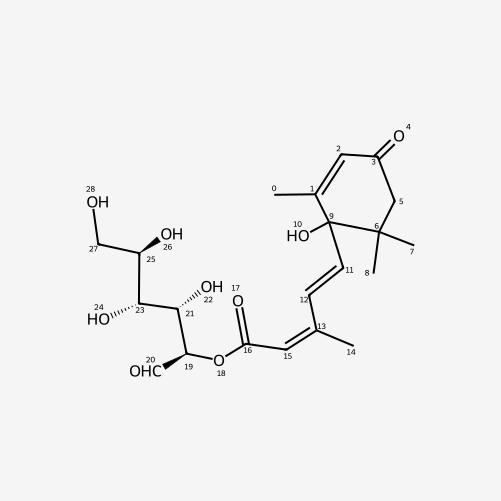 CC1=CC(=O)CC(C)(C)C1(O)C=C/C(C)=C\C(=O)O[C@@H](C=O)[C@@H](O)[C@H](O)[C@H](O)CO